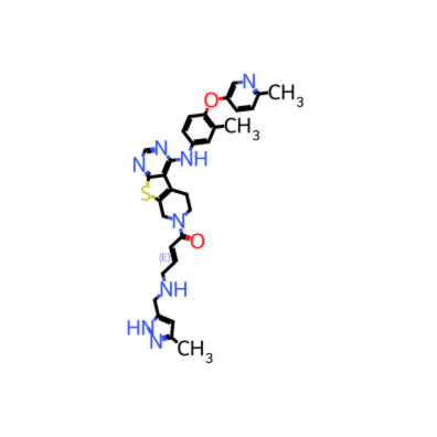 Cc1ccc(Oc2ccc(Nc3ncnc4sc5c(c34)CCN(C(=O)/C=C/CNCc3cc(C)n[nH]3)C5)cc2C)cn1